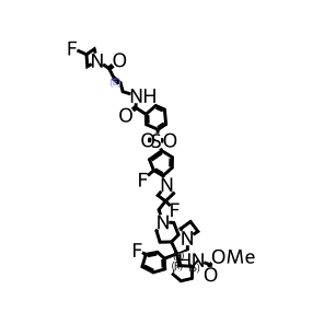 COC(=O)N[C@H]1CCC[C@@H]1[C@](CN1CCC1)(c1cccc(F)c1)C1CCN(CC2(F)CN(c3ccc(S(=O)(=O)c4cccc(C(=O)NC/C=C/C(=O)N5CC(F)C5)c4)cc3F)C2)CC1